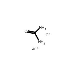 NC(N)=O.[O-2].[Zn+2]